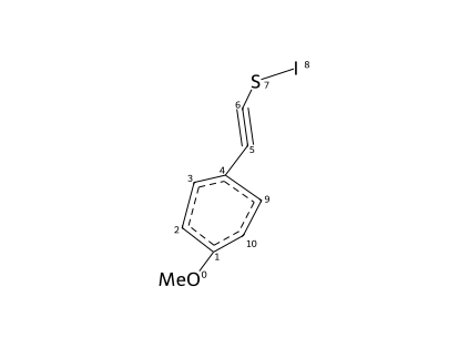 COc1ccc(C#CSI)cc1